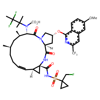 COc1ccc2c(O[C@@H]3C[C@H]4C(=O)N[C@]5(C(=O)NS(=O)(=O)C6(CF)CC6)C[C@H]5C=CCC[C@@H](C)C[C@@H](C)[C@H](N(C(=O)O)C(C)(C)C(C)(F)F)C(=O)N4C3)nc(C(F)(F)F)cc2c1